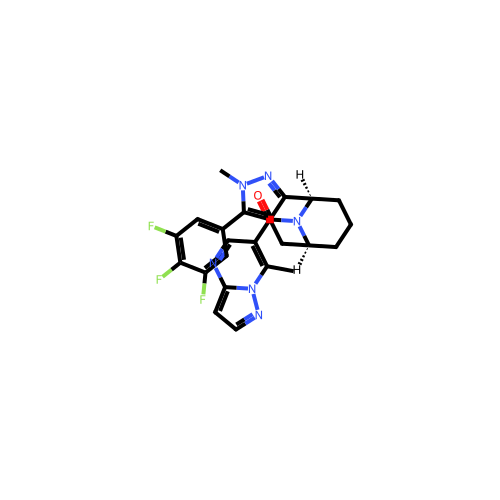 Cc1c(C(=O)N2[C@H]3CCC[C@@H]2c2nn(C)c(-c4cc(F)c(F)c(F)c4)c2C3)cnc2ccnn12